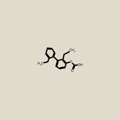 CCCc1c(OC(=O)O)cccc1-c1ccccc1CC